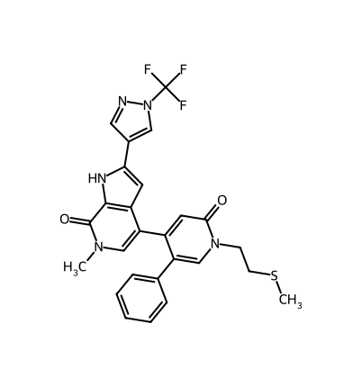 CSCCn1cc(-c2ccccc2)c(-c2cn(C)c(=O)c3[nH]c(-c4cnn(C(F)(F)F)c4)cc23)cc1=O